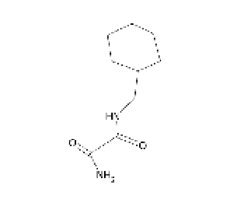 NC(=O)C(=O)N[CH]C1CCCCC1